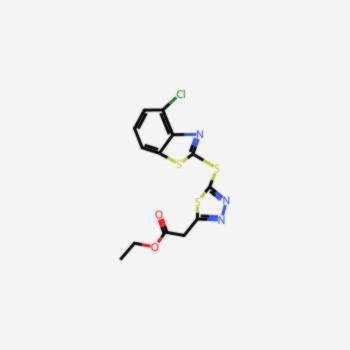 CCOC(=O)Cc1nnc(Sc2nc3c(Cl)cccc3s2)s1